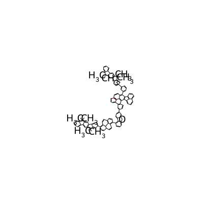 CC1(C)c2ccccc2-c2cc3c(cc21)-c1ccc(C2=C4C=Cc5ccc(-c6cccc7oc8cc(-c9ccc(-c%10c%11c(c(-c%12cccc(-c%13ccc%14c(c%13)C(C)(C)c%13cc%15c(cc%13-%14)C(C)(C)c%13ccccc%13-%15)c%12)c%12ccccc%10%12)-c%10cccc%12cccc-%11c%10%12)c(-c%10ccccc%10)c9)ccc8c67)c6c5C4C(C=C2)C=C6)cc1C3(C)C